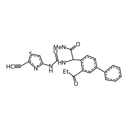 C#Cc1nc(NC(=O)NC(C(=O)NC)c2ccc(-c3ccccc3)cc2C(=O)CC)cs1